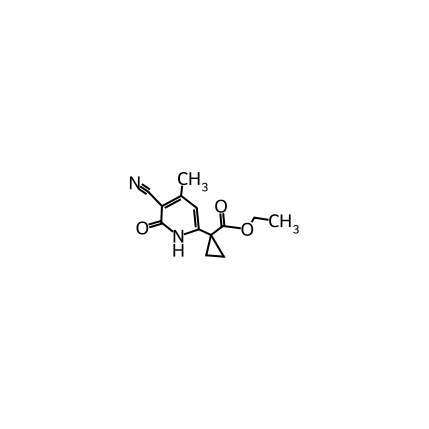 CCOC(=O)C1(c2cc(C)c(C#N)c(=O)[nH]2)CC1